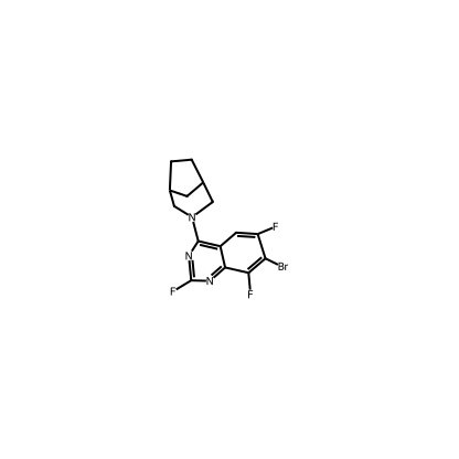 Fc1nc(N2CC3CCC(C3)C2)c2cc(F)c(Br)c(F)c2n1